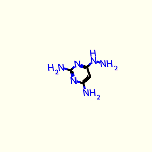 NNc1cc(N)nc(N)n1